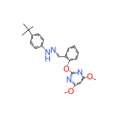 COc1cc(OC)nc(Oc2ccccc2C=NNc2ccc(C(C)(C)C)cc2)n1